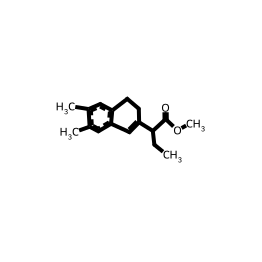 CCC(C(=O)OC)C1=Cc2cc(C)c(C)cc2CC1